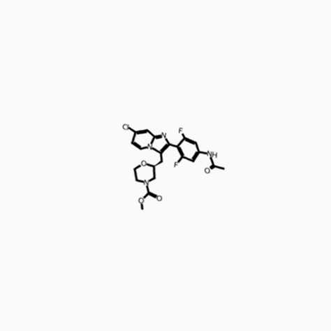 COC(=O)N1CCO[C@@H](Cc2c(-c3c(F)cc(NC(C)=O)cc3F)nc3cc(Cl)ccn23)C1